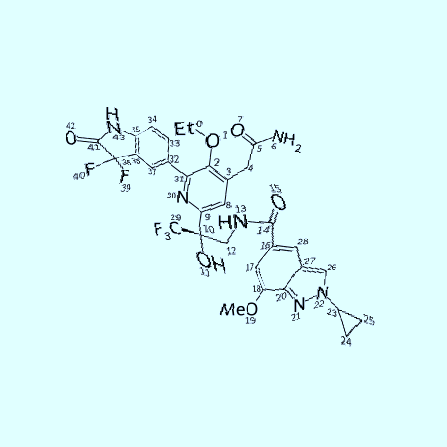 CCOc1c(CC(N)=O)cc([C@@](O)(CNC(=O)c2cc(OC)c3nn(C4CC4)cc3c2)C(F)(F)F)nc1-c1ccc2c(c1)C(F)(F)C(=O)N2